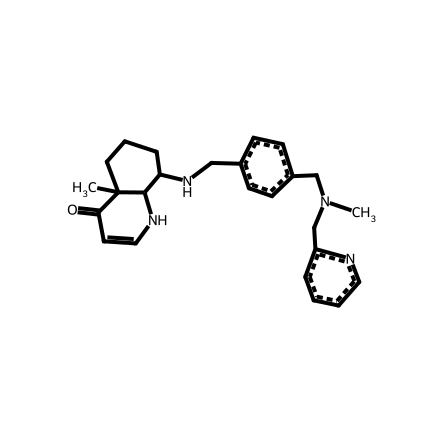 CN(Cc1ccc(CNC2CCCC3(C)C(=O)C=CNC23)cc1)Cc1ccccn1